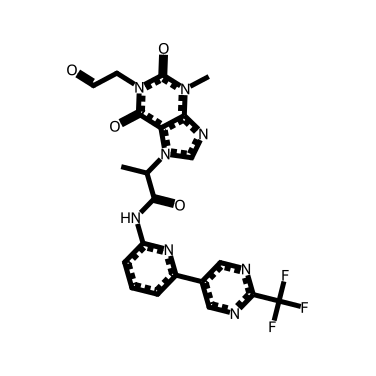 CC(C(=O)Nc1cccc(-c2cnc(C(F)(F)F)nc2)n1)n1cnc2c1c(=O)n(CC=O)c(=O)n2C